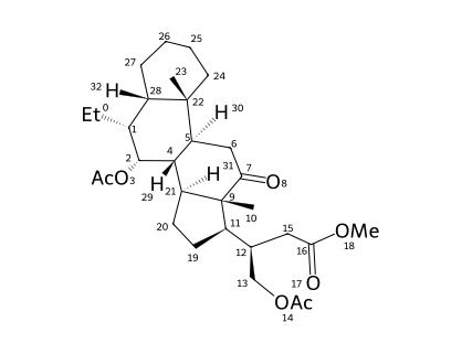 CC[C@H]1[C@@H](OC(C)=O)[C@@H]2[C@H](CC(=O)[C@]3(C)[C@@H]([C@H](COC(C)=O)CC(=O)OC)CC[C@@H]23)[C@@]2(C)CCCC[C@@H]12